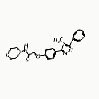 Cc1c(-c2ccc(OCC(=O)NN3CCOCC3)cc2)noc1-c1ccccc1